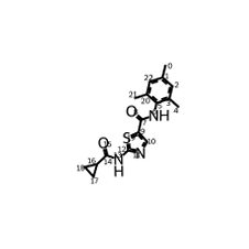 Cc1cc(C)c(NC(=O)c2cnc(NC(=O)C3CC3)s2)c(C)c1